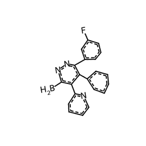 Bc1nnc(-c2cccc(F)c2)c(-c2ccccc2)c1-c1ccccn1